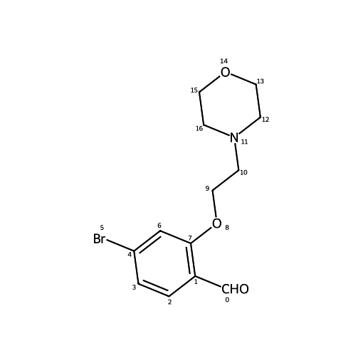 O=Cc1ccc(Br)cc1OCCN1CCOCC1